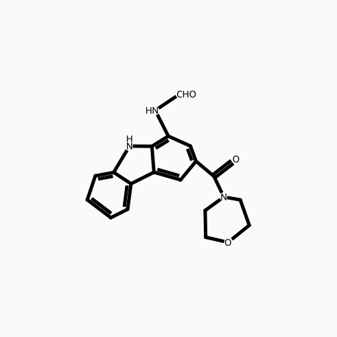 O=CNc1cc(C(=O)N2CCOCC2)cc2c1[nH]c1ccccc12